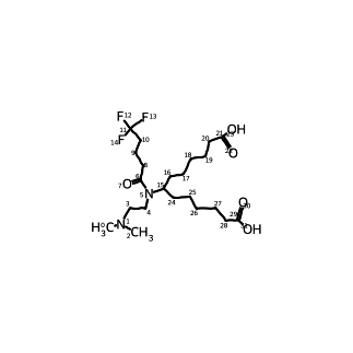 CN(C)CCN(C(=O)CCCC(F)(F)F)C(CCCCCC(=O)O)CCCCCC(=O)O